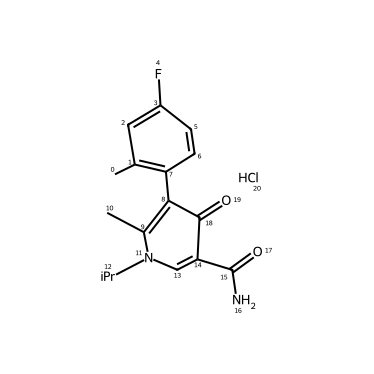 Cc1cc(F)ccc1-c1c(C)n(C(C)C)cc(C(N)=O)c1=O.Cl